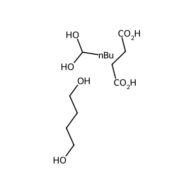 CCCCC(O)O.O=C(O)CCC(=O)O.OCCCCO